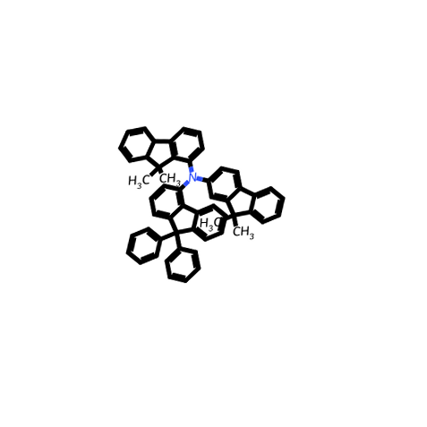 CC1(C)c2ccccc2-c2ccc(N(c3cccc4c3-c3ccccc3C4(c3ccccc3)c3ccccc3)c3cccc4c3C(C)(C)C3C=CC=CC43)cc21